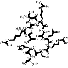 CC(C)[C@H](NC(=O)[C@H](CCCNC(=N)N)NC(=O)[C@@H](NC(=O)[C@H](CCC(N)=O)NC(=O)[C@@H](N)CCCNC(=N)N)[C@@H](C)O)C(=O)N[C@@H](CCC(N)=O)C(=O)N[C@@H](CCCNC(=N)N)C(=O)N[C@@H](CS)C(=O)N[C@@H](Cc1c[nH]cn1)C(=O)N[C@@H](CS)C(=O)O